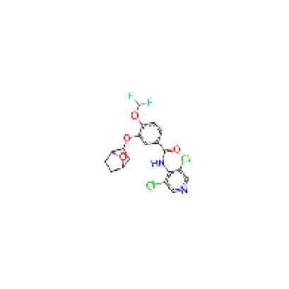 O=C(Nc1c(Cl)cncc1Cl)c1ccc(OC(F)F)c(OC2CC3CCC2O3)c1